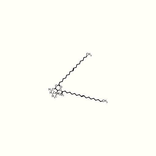 CCCCCCCCC=CCCCCCCCC(=O)OC(C)C(OC(=O)CCCCCCCC=CCCCCCCCC)[N+](C)(C)C